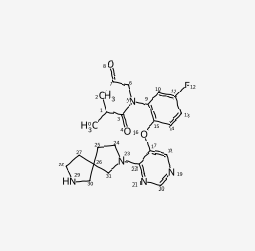 CC(C)C(=O)N(CC=O)c1cc(F)ccc1Oc1cncnc1N1CCC2(CCNC2)C1